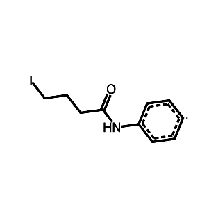 O=C(CCCI)Nc1cc[c]cc1